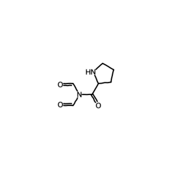 O=CN(C=O)C(=O)C1CCCN1